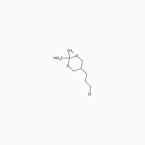 CC1(C(=O)O)OCC(CCCCl)CO1